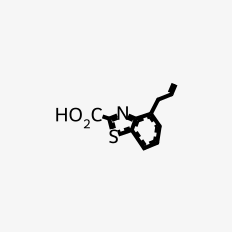 C=CCc1cccc2sc(C(=O)O)nc12